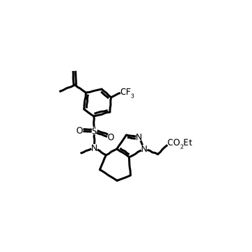 C=C(C)c1cc(C(F)(F)F)cc(S(=O)(=O)N(C)C2CCCc3c2cnn3CC(=O)OCC)c1